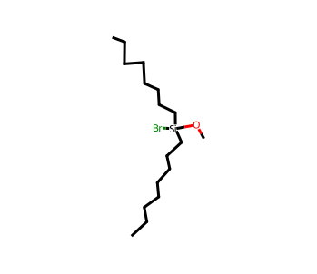 CCCCCCCC[Si](Br)(CCCCCCCC)OC